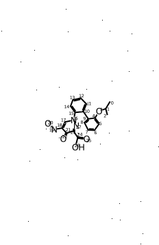 CC(C)Oc1ccccc1-c1ccccc1-n1cc(N=O)c(=O)c(C(=O)O)n1